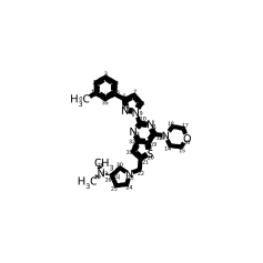 Cc1cccc(-c2ccn(-c3nc(N4CCOCC4)c4sc(CN5CC[C@H](N(C)C)C5)cc4n3)n2)c1